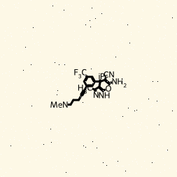 CNCCCC#Cc1cc(C(F)(F)F)cc(C2(C(C)C)C(C#N)=C(N)Oc3[nH]nc(C)c32)c1